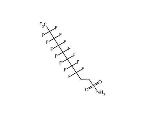 NS(=O)(=O)CCC(F)(F)C(F)(F)C(F)(F)C(F)(F)C(F)(F)C(F)(F)C(F)(F)C(F)(F)F